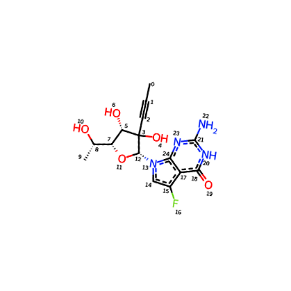 CC#CC1(O)[C@@H](O)[C@@H]([C@H](C)O)O[C@H]1n1cc(F)c2c(=O)[nH]c(N)nc21